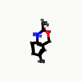 N#Cc1ccc2c(c1)COC(C(Cl)(Cl)Cl)N2